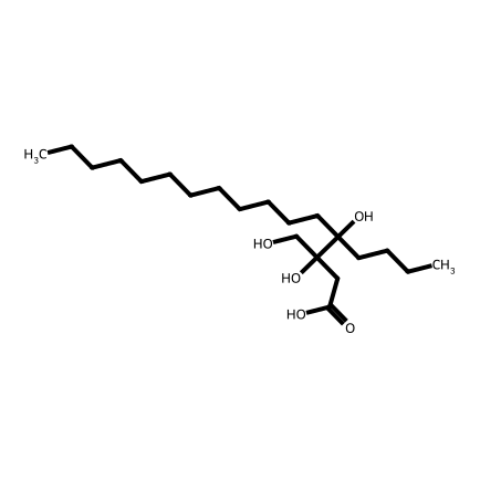 CCCCCCCCCCCCC(O)(CCCC)C(O)(CO)CC(=O)O